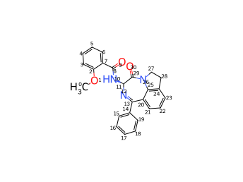 COc1ccccc1C(=O)N[C@@H]1N=C(c2ccccc2)c2cccc3c2N(CC3)C1=O